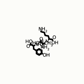 CC(N)C(=O)O.NC(Cc1ccc(O)cc1)C(=O)O.NCCCCC(N)C(=O)O